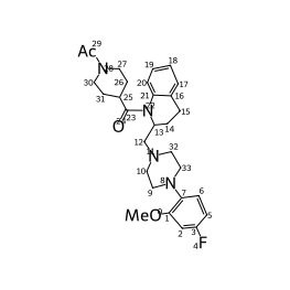 COc1cc(F)ccc1N1CCN(CC2CCc3ccccc3N2C(=O)C2CCN(C(C)=O)CC2)CC1